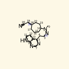 CN(/N=C\Cc1ncnc2[nH]ccc12)C1CCC/C(=C\C#N)CC1